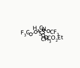 CCOC(=O)COc1ccc(SC(Cc2ccc(-c3cccc(C(F)(F)F)c3)cc2)c2sc(-c3ccc(C(F)(F)F)cc3)nc2C)cc1C